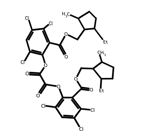 CCC1CCC(C)C1COC(=O)c1c(Cl)c(Cl)cc(Cl)c1OC(=O)C(=O)Oc1c(Cl)cc(Cl)c(Cl)c1C(=O)OCC1C(C)CCC1CC